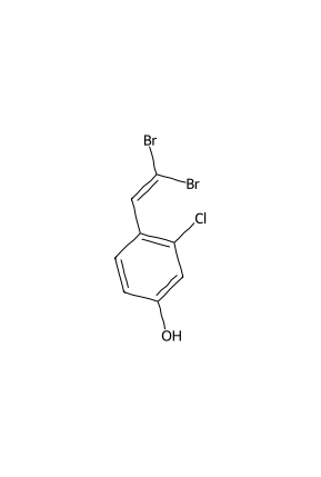 Oc1ccc(C=C(Br)Br)c(Cl)c1